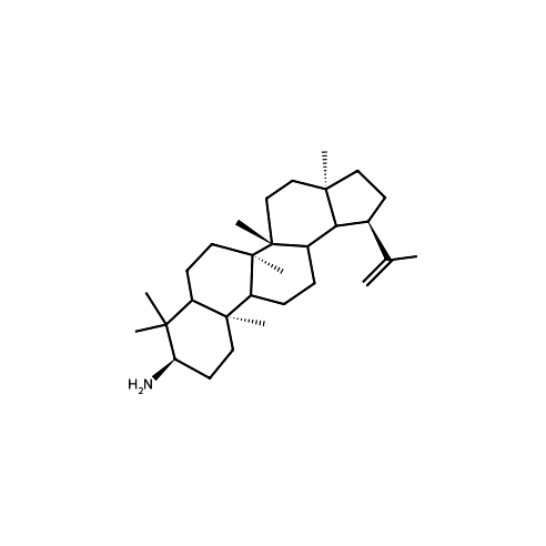 C=C(C)[C@@H]1CC[C@]2(C)CC[C@]3(C)C(CCC4[C@@]5(C)CC[C@@H](N)C(C)(C)C5CC[C@]43C)C12